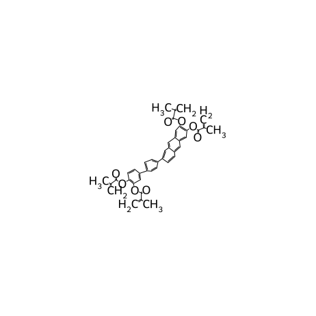 C=C(C)C(=O)Oc1ccc(-c2ccc(-c3ccc4cc5cc(OC(=O)C(=C)C)c(OC(=O)C(=C)C)cc5cc4c3)cc2)cc1OC(=O)C(=C)C